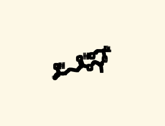 C=C(O)CCCC(=O)OCC(C)OC(CC)CO